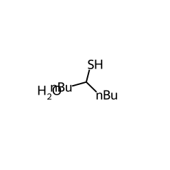 CCCCC(S)CCCC.O